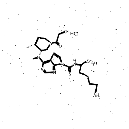 C[C@@H]1CCN(C(=O)CC#N)C[C@@H]1N(C)c1ncnc2c1ccn2C(=S)NC(CCCCN)C(=O)O.Cl